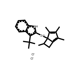 CC1=C(C)[C]2([Zr+2][c]3[nH]c4ccccc4c3C(C)(C)C)C(=C1C)CC2C.[Cl-].[Cl-]